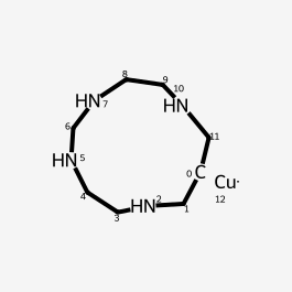 C1CNCCNCNCCNC1.[Cu]